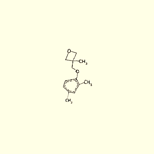 Cc1ccc(OCC2(C)COC2)c(C)c1